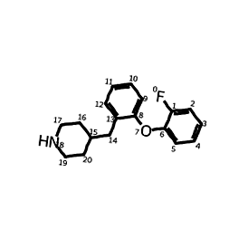 Fc1ccccc1Oc1ccccc1CC1CCNCC1